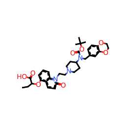 CCC(Oc1cccc2c1ccc(=O)n2CCN1CCC(N(Cc2ccc3c(c2)OCCO3)C(=O)OC(C)(C)C)CC1)C(=O)O